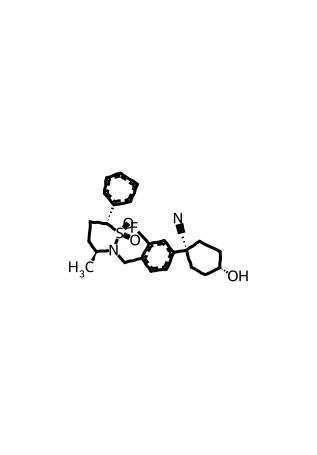 C[C@H]1CC[C@H](c2ccccc2)S(=O)(=O)N1Cc1ccc([C@]2(C#N)CC[C@@H](O)CC2)cc1F